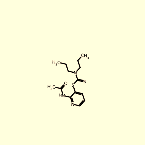 CCCN(CCC)C(=S)Sc1cccnc1NC(C)=O